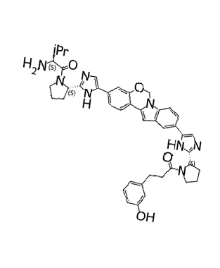 CC(C)[C@H](N)C(=O)N1CCC[C@H]1c1ncc(-c2ccc3c(c2)OCn2c-3cc3cc(-c4cnc([C@@H]5CCCN5C(=O)CCc5cccc(O)c5)[nH]4)ccc32)[nH]1